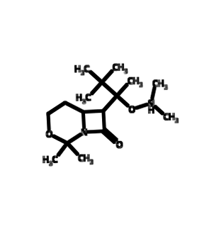 C[SiH](C)OC(C)(C1C(=O)N2C1CCOC2(C)C)C(C)(C)C